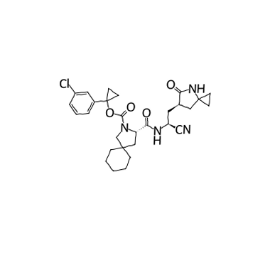 N#C[C@H](C[C@@H]1CC2(CC2)NC1=O)NC(=O)[C@@H]1CC2(CCCCC2)CN1C(=O)OC1(c2cccc(Cl)c2)CC1